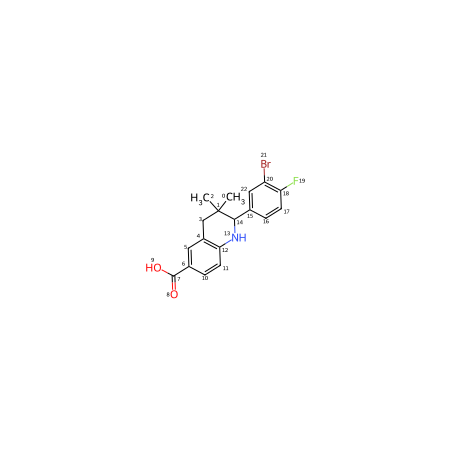 CC1(C)Cc2cc(C(=O)O)ccc2NC1c1ccc(F)c(Br)c1